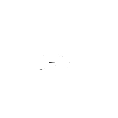 O=C(OS)[C@@H]1CCCN1